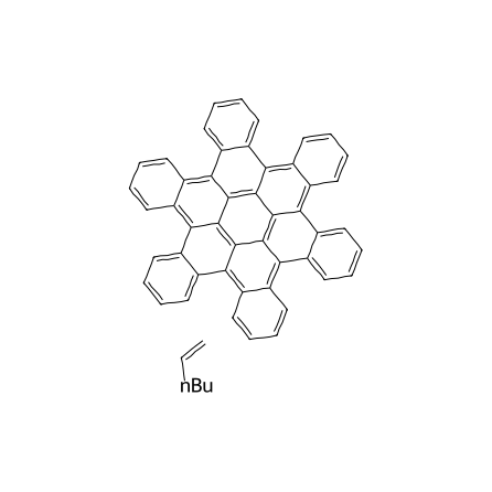 C=CCCCC.c1ccc2c(c1)c1c3ccccc3c3c4ccccc4c4c5ccccc5c5c6ccccc6c6c7ccccc7c2c2c1c3c4c5c62